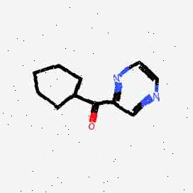 O=C(c1cnccn1)C1CCCCC1